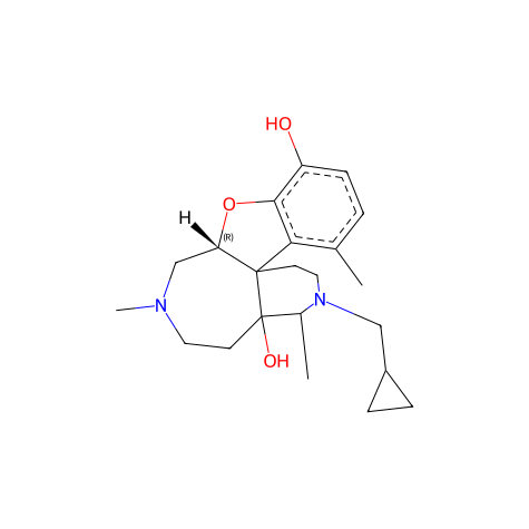 Cc1ccc(O)c2c1C13CCN(CC4CC4)C(C)C1(O)CCN(C)C[C@@H]3O2